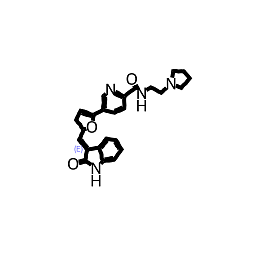 O=C1Nc2ccccc2/C1=C\C1CC=C(c2ccc(C(=O)NCCN3CCCC3)nc2)O1